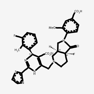 CCOC(=O)C1=C(CN2CC[C@]3(F)C(=O)N(c4ccc(C(=O)O)cc4OC)C[C@@H]3C2)NC(c2nccs2)=N[C@H]1c1cccc(F)c1C